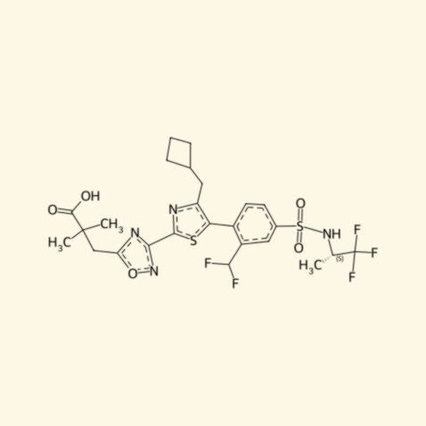 C[C@H](NS(=O)(=O)c1ccc(-c2sc(-c3noc(CC(C)(C)C(=O)O)n3)nc2CC2CCC2)c(C(F)F)c1)C(F)(F)F